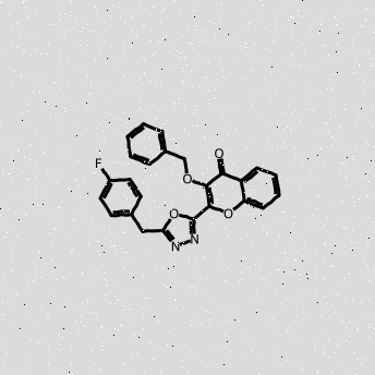 O=c1c(OCc2ccccc2)c(-c2nnc(Cc3ccc(F)cc3)o2)oc2ccccc12